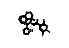 C/C(=C\N(C(=O)[C@@H]1CCCN1)C1(C)CCSc2c#cccc21)C1=C(F)C[C@@H](C)C(F)=C1